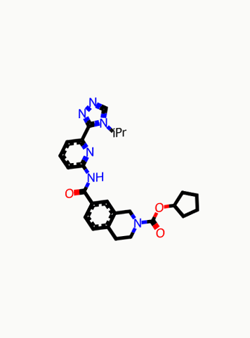 CC(C)n1cnnc1-c1cccc(NC(=O)c2ccc3c(c2)CN(C(=O)OC2CCCC2)CC3)n1